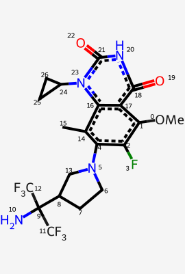 COc1c(F)c(N2CCC(C(N)(C(F)(F)F)C(F)(F)F)C2)c(C)c2c1c(=O)[nH]c(=O)n2C1CC1